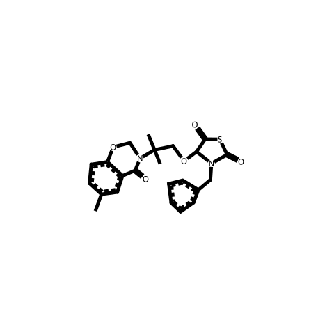 Cc1ccc2c(c1)C(=O)N(C(C)(C)COC1C(=O)SC(=O)N1Cc1ccccc1)CO2